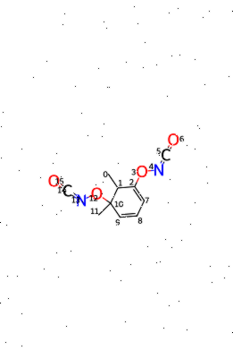 CC1C(ON=C=O)=CC=CC1(C)ON=C=O